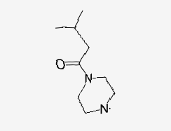 CC(C)CC(=O)N1CC[N]CC1